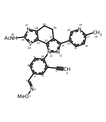 C#Cc1cc(/C=N/OC)ccc1-n1nc(-c2ccc(C)nc2)c2c1-c1sc(NC(C)=O)nc1CC2